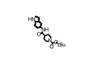 CC(C)(C)OC(=O)N1CCC(C(=O)Nc2ccc3[nH]ccc3c2)CC1